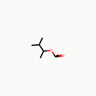 CC(C)C(C)O[C]=O